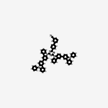 N#Cc1cccc(-c2ccc(-c3nc(-n4c5ccccc5c5cc(-c6ccc7c(c6)c6ccccc6n7-c6ccccc6)ccc54)nc(-n4c5ccccc5c5cc(-c6ccc7c(c6)c6ccccc6n7-c6ccccc6)ccc54)n3)cc2)c1